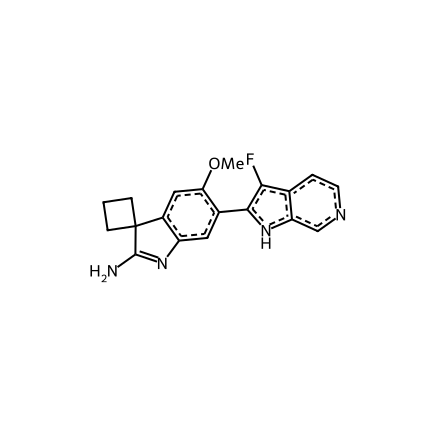 COc1cc2c(cc1-c1[nH]c3cnccc3c1F)N=C(N)C21CCC1